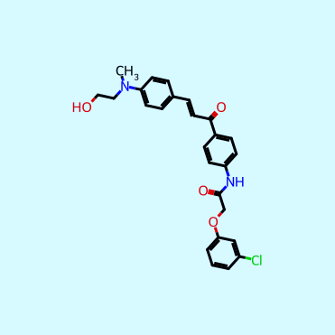 CN(CCO)c1ccc(/C=C/C(=O)c2ccc(NC(=O)COc3cccc(Cl)c3)cc2)cc1